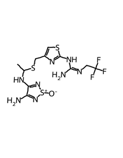 CC(Nc1n[s+]([O-])nc1N)SCc1csc(N/C(N)=N\CC(F)(F)F)n1